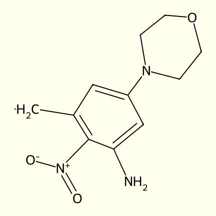 [CH2]c1cc(N2CCOCC2)cc(N)c1[N+](=O)[O-]